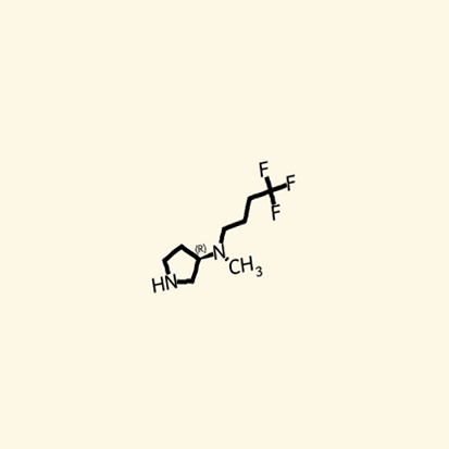 CN(CCCC(F)(F)F)[C@@H]1CCNC1